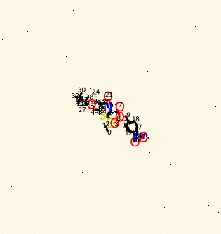 CC[S+]([O-])C1=C(C(=O)OCc2ccc([N+](=O)[O-])cc2)N2C(=O)[C@H]([C@@H](C)O[Si](C)(C)C(C)(C)C)[C@H]2S1